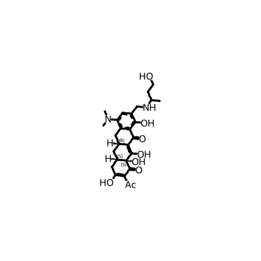 CC(=O)C1=C(O)C[C@@H]2C[C@@H]3Cc4c(N(C)C)cc(CNC(C)CCO)c(O)c4C(=O)C3=C(O)[C@]2(O)C1=O